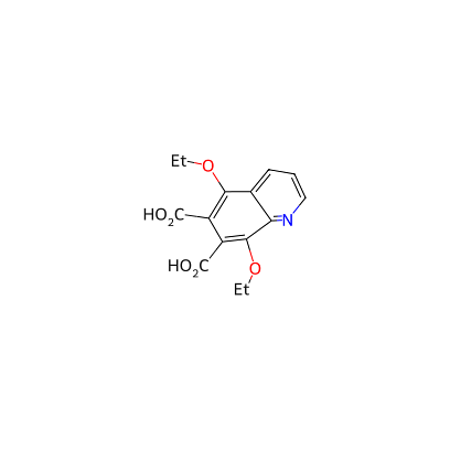 CCOc1c(C(=O)O)c(C(=O)O)c(OCC)c2ncccc12